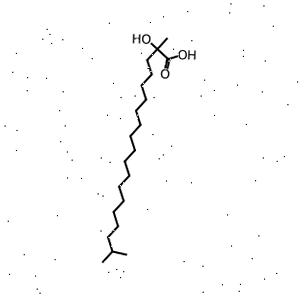 CC(C)CCCCCCCCCCCCCCCC(C)(O)C(=O)O